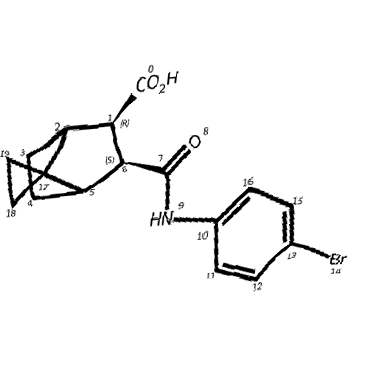 O=C(O)[C@@H]1C2CCC([C@@H]1C(=O)Nc1ccc(Br)cc1)C21CC1